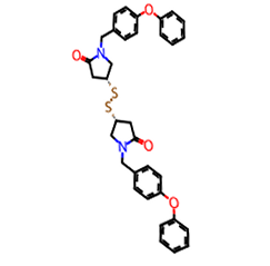 O=C1C[C@@H](SS[C@@H]2CC(=O)N(Cc3ccc(Oc4ccccc4)cc3)C2)CN1Cc1ccc(Oc2ccccc2)cc1